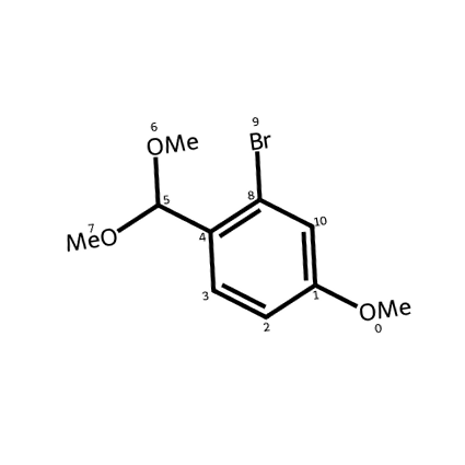 COc1ccc(C(OC)OC)c(Br)c1